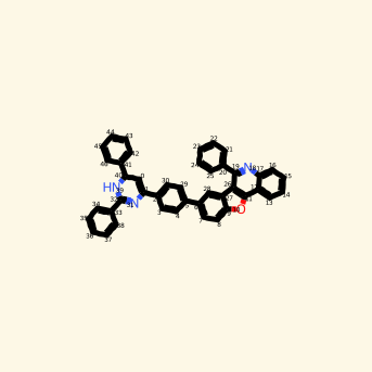 C1=C(c2ccc(-c3ccc4oc5c6ccccc6nc(-c6ccccc6)c5c4c3)cc2)N=C(c2ccccc2)NC1c1ccccc1